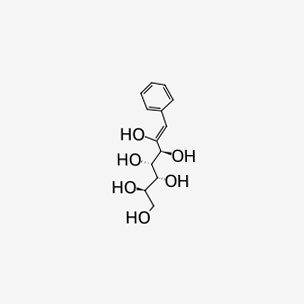 OC[C@@H](O)[C@@H](O)[C@H](O)[C@H](O)C(O)=Cc1ccccc1